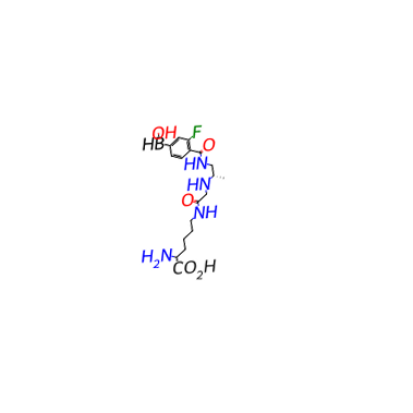 C[C@@H](CNC(=O)c1ccc(BO)cc1F)NCC(=O)NCCCC[C@H](N)C(=O)O